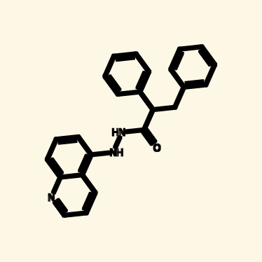 O=C(NNc1cccc2ncccc12)C(Cc1ccccc1)c1ccccc1